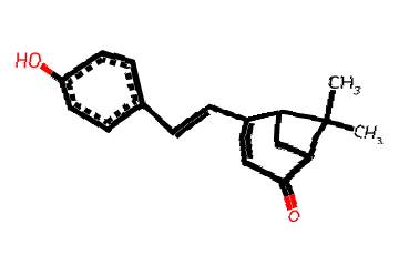 CC1(C)C2CC1C(/C=C/c1ccc(O)cc1)=CC2=O